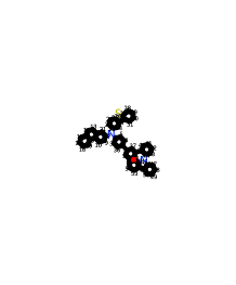 c1cc(-c2ccc(N(c3ccc4c(ccc5ccccc54)c3)c3ccc4sc5ccccc5c4c3)cc2)cc(-c2ccccc2-n2c3ccccc3c3ccccc32)c1